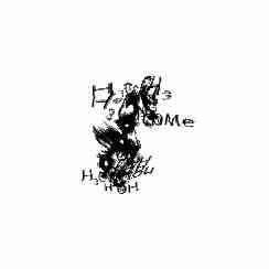 COC(=O)C[C@@H]1N=C(c2ccc(-c3cccc4cn(CC(=O)N[C@H](C(=O)N5C[C@H](O)C[C@H]5C(=O)N[C@@H](C)c5ccc(-c6scnc6C)cc5)C(C)(C)C)nc34)cc2)c2c(sc(C)c2C)-n2c(C)nnc21